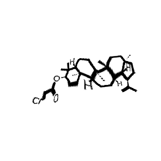 C=C(C)[C@@H]1CC[C@]2(C)CC[C@]3(C)[C@H](CC[C@@H]4[C@@]5(C)CC[C@H](OC(=O)CCl)C(C)(C)[C@@H]5CC[C@]43C)[C@@H]12